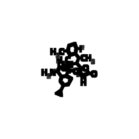 Cc1ccc(F)c(C(C)C(NS(=O)(=O)c2ccc(C3CC3)cc2C(N)=O)c2n[nH]c(=O)o2)c1C